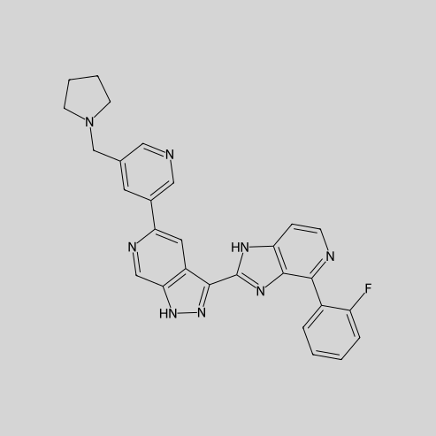 Fc1ccccc1-c1nccc2[nH]c(-c3n[nH]c4cnc(-c5cncc(CN6CCCC6)c5)cc34)nc12